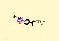 CC(C)c1noc(N2CCC(C(C)CC(=O)O)CC2)n1